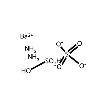 N.N.O=S(=O)(O)O.O=S(=O)([O-])[O-].[Ba+2]